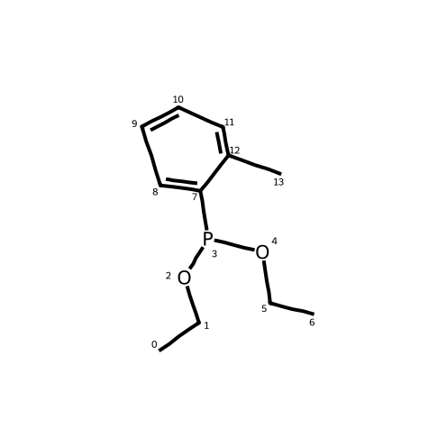 CCOP(OCC)c1ccccc1C